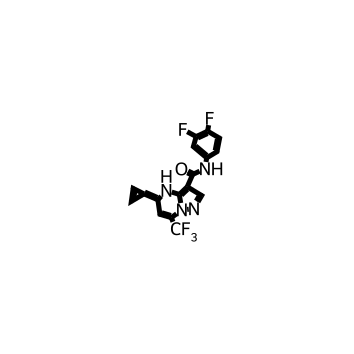 O=C(Nc1ccc(F)c(F)c1)c1cnn2c1NC(=C1C=C1)C=C2C(F)(F)F